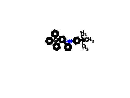 CC(C)(C)c1ccc(Nc2ccccc2-c2cccc([Si](c3ccccc3)(c3ccccc3)c3ccccc3)c2)cc1